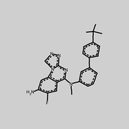 CN(c1cccc(-c2ccc(C(C)(C)C)cc2)c1)c1nc2nncn2c2cc(N)c(F)cc12